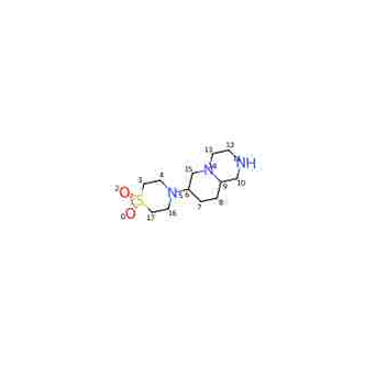 O=S1(=O)CCN(C2CCC3CNCCN3C2)CC1